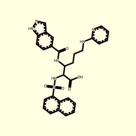 O=C(NC(CCCNc1ccccn1)C(NS(=O)(=O)c1cccc2ccccc12)C(=O)O)c1ccc2[nH]ncc2c1